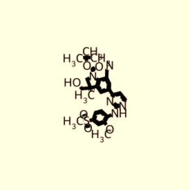 COc1cc(S(C)(=O)=O)ccc1Nc1nccc(-c2cc(C#N)c3c(c2)[C@@](C)(CO)CN3C(=O)OC(C)(C)C)n1